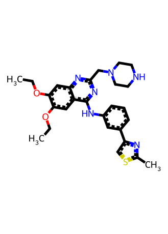 CCOc1cc2nc(CN3CCNCC3)nc(Nc3cccc(-c4csc(C)n4)c3)c2cc1OCC